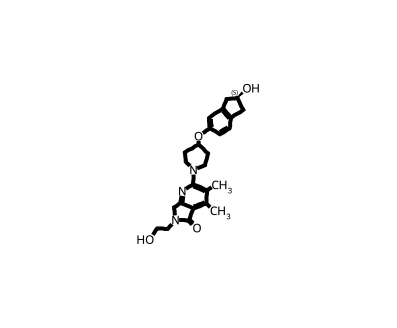 Cc1c(N2CCC(Oc3ccc4c(c3)C[C@@H](O)C4)CC2)nc2c(c1C)C(=O)N(CCO)C2